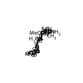 COc1cc2nc(C)nc(N[C@H](C)c3cc(N)cc(C(F)(F)F)c3)c2cc1OCC1(CN(C)C(=O)CCOC2CCN(c3cccc4c3C(=O)N(C3CCC(=O)NC3=O)C4=O)CC2)CC1